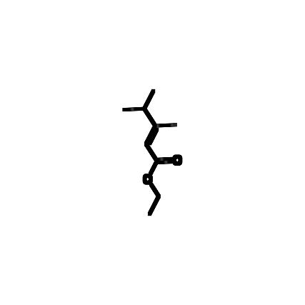 CCOC(=O)/C=C(\C)C(C)C